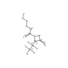 CCCCOC(=O)C1CC(=O)N1[Si](C)(C)C(C)(C)C